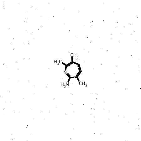 CC1=C=CC(C)=C(C)N=C1N